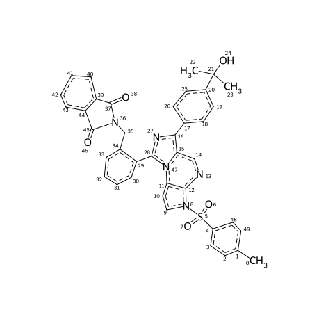 Cc1ccc(S(=O)(=O)n2ccc3c2ncc2c(-c4ccc(C(C)(C)O)cc4)nc(-c4ccccc4CN4C(=O)c5ccccc5C4=O)n23)cc1